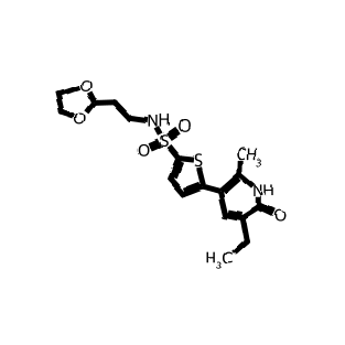 CCc1cc(-c2ccc(S(=O)(=O)NCCC3OCCO3)s2)c(C)[nH]c1=O